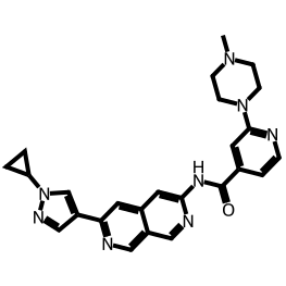 CN1CCN(c2cc(C(=O)Nc3cc4cc(-c5cnn(C6CC6)c5)ncc4cn3)ccn2)CC1